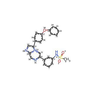 CS(=O)(=O)Nc1cccc(-c2cn3c(-c4ccc(Oc5ccccc5)cc4)cnc3cn2)c1